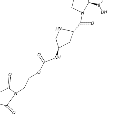 O=C(N[C@H]1CN[C@H](C(=O)N2CCC[C@H]2B(O)O)C1)OCCN1C(=O)C=CC1=O